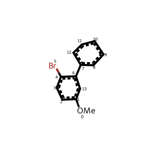 COc1ccc(Br)c(-c2ccccc2)c1